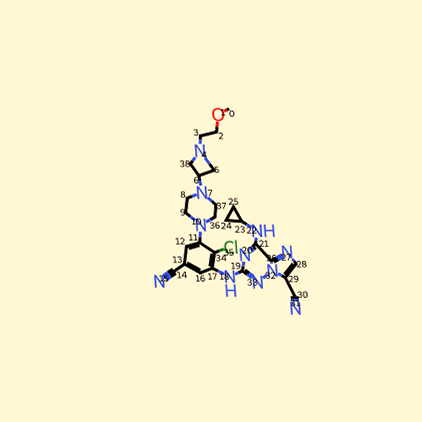 COCCN1CC(N2CCN(c3cc(C#N)cc(Nc4nc(NC5CC5)c5ncc(C#N)n5n4)c3Cl)CC2)C1